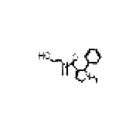 O=C(NCCO)C1=CCN(SI)C1c1ccccc1